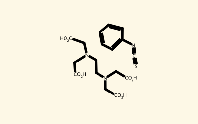 O=C(O)CN(CCN(CC(=O)O)CC(=O)O)CC(=O)O.S=C=Nc1ccccc1